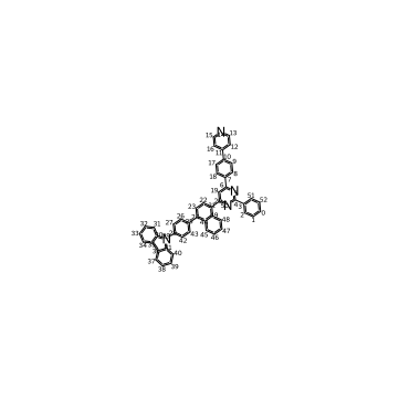 c1ccc(-c2nc(-c3ccc(-c4ccncc4)cc3)cc(-c3ccc(-c4ccc(-n5c6ccccc6c6ccccc65)cc4)c4ccccc34)n2)cc1